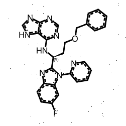 Fc1ccc2nc([C@H](CCOCc3ccccc3)Nc3ncnc4nc[nH]c34)n(-c3ccccn3)c2c1